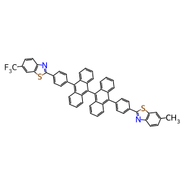 Cc1ccc2nc(-c3ccc(-c4c5ccccc5c(-c5c6ccccc6c(-c6ccc(-c7nc8ccc(C(F)(F)F)cc8s7)cc6)c6ccccc56)c5ccccc45)cc3)sc2c1